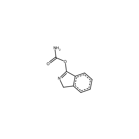 NC(=O)OC1=NCc2ccccc21